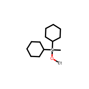 CCO[Si](C)(C1CCCCC1)C1CCCCC1